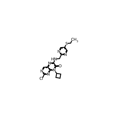 CCSc1cnc(CNc2nc3cnc(Cl)nc3n(C3CCC3)c2=O)nc1